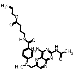 C=CCOC(=O)CCCNC(=O)c1ccc(N(C)Cc2cnc3nc(NC(C)=O)nc(N)c3n2)cc1